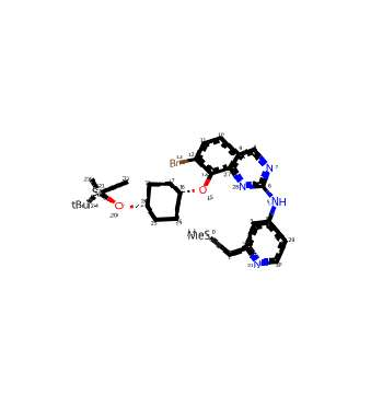 CSCc1cc(Nc2ncc3ccc(Br)c(O[C@H]4CC[C@@H](O[Si](C)(C)C(C)(C)C)CC4)c3n2)ccn1